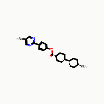 CCCCc1cnc(-c2ccc(OC(=O)[C@H]3CC[C@H]([C@H]4CC[C@H](CCCC)CC4)CC3)cc2)nc1